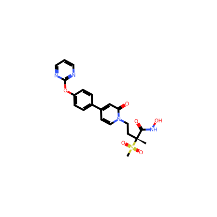 C[C@@](CCn1ccc(-c2ccc(Oc3ncccn3)cc2)cc1=O)(C(=O)NO)S(C)(=O)=O